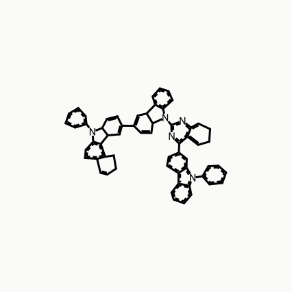 C1=Cc2ccc3c(c2CC1)C1C=C(C2=CC4c5ccccc5N(c5nc(-c6ccc7c8ccccc8n(-c8ccccc8)c7c6)c6c(n5)=CCCC=6)C4C=C2)C=CC1N3c1ccccc1